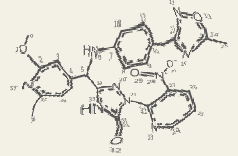 COc1cc(C(Nc2ccc(-c3noc(C)n3)cc2)c2nn(-c3ncccc3[N+](=O)[O-])c(=O)[nH]2)cc(C)n1